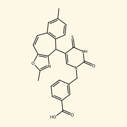 Cc1ccc2c(c1)C=Cc1oc(C)nc1C2c1cn(Cc2cccc(C(=O)O)c2)c(=O)[nH]c1=S